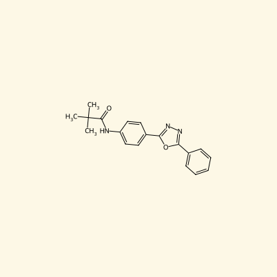 CC(C)(C)C(=O)Nc1ccc(-c2nnc(-c3ccccc3)o2)cc1